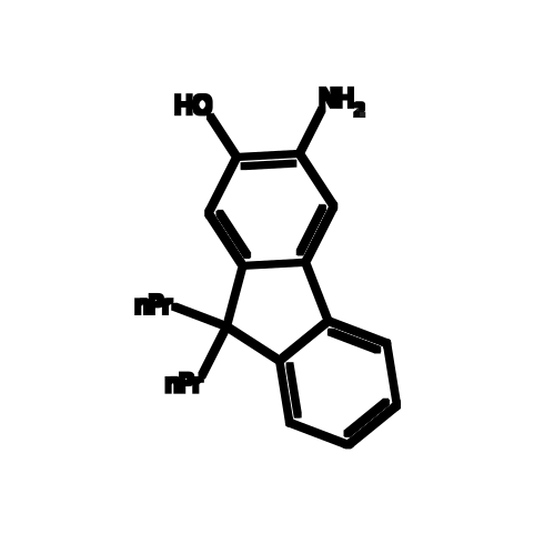 CCCC1(CCC)c2ccccc2-c2cc(N)c(O)cc21